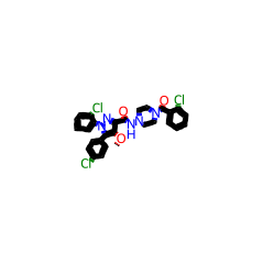 COc1c(C(=O)NN2CCN(C(=O)c3ccccc3Cl)CC2)nn(-c2ccccc2Cl)c1-c1ccc(Cl)cc1